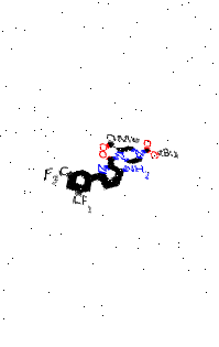 COC(=O)[C@@H]1CN(C(=O)OC(C)(C)C)CCN1C(=O)c1nc(-c2cc(C(F)(F)F)cc(C(F)(F)F)c2)ccc1N